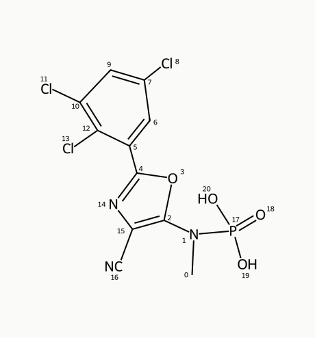 CN(c1oc(-c2cc(Cl)cc(Cl)c2Cl)nc1C#N)P(=O)(O)O